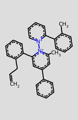 C=CCc1ccccc1-c1cc(-c2ccccc2)cc(C)[n+]1-[n+]1ccccc1-c1ccccc1C